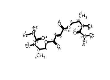 CCN(CC)C(=O)N(CC)[C@@H](C)COC(=O)/C=C/C(=O)OC[C@H](C)N(CC)C(=O)N(CC)CC